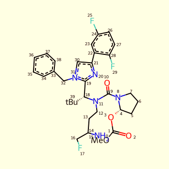 COC(=O)O[C@H]1CCCN1C(=O)N(CCC(N)CF)[C@@H](c1nc(-c2cc(F)ccc2F)cn1Cc1ccccc1)C(C)(C)C